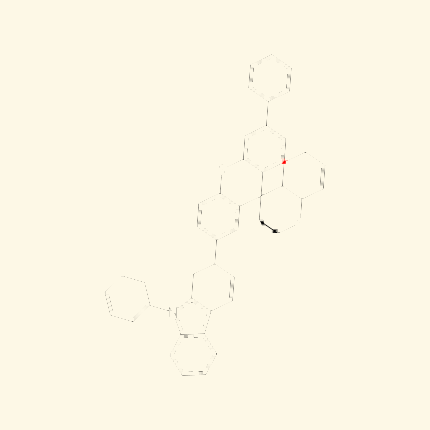 C1=CCCC(n2c3c(c4ccccc42)C=CC(c2ccc4c(c2)C2(C5=CCCC=C5SC5C=CCCC52)c2ccc(-c5ccccc5)cc2S4)C3)=C1